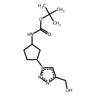 CC(C)(C)OC(=O)NC1CCC(n2cc(CO)nn2)C1